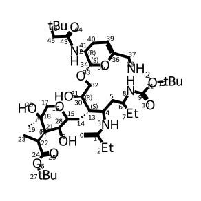 C=C(CC)NC(CC(CC)NC(=O)OC(C)(C)C)[C@H](CC1OC[C@](C)(O)[C@H](C(C)C(=O)OC(C)(C)C)C1O)[C@@H](O)CO[C@H]1OC(CN)=CC[C@H]1NC(=O)CC(C)(C)C